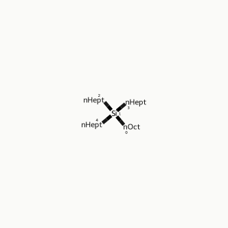 CCCCCCCC[Si](CCCCCCC)(CCCCCCC)CCCCCCC